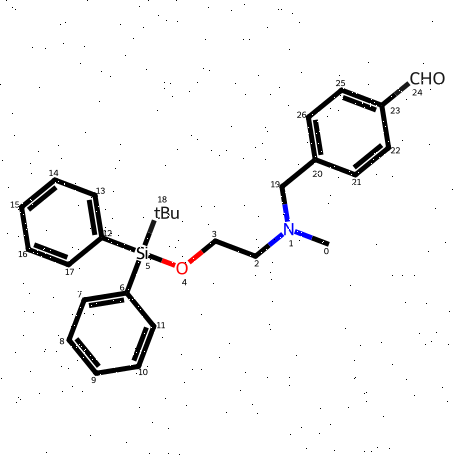 CN(CCO[Si](c1ccccc1)(c1ccccc1)C(C)(C)C)Cc1ccc(C=O)cc1